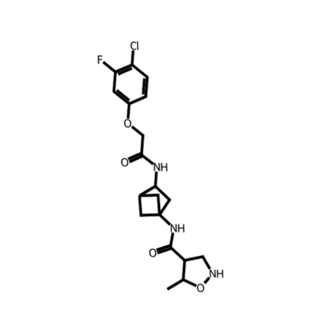 CC1ONCC1C(=O)NC12CC(C1)C(NC(=O)COc1ccc(Cl)c(F)c1)C2